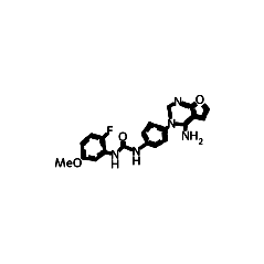 COc1ccc(F)c(NC(=O)Nc2ccc(N3CN=c4occc4=C3N)cc2)c1